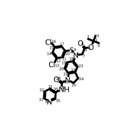 CC(C)(C)OC(=O)CN(Sc1cc(Cl)cc(Cl)c1)c1ccc2c(c1)CCN2C(=O)Nc1cccnc1